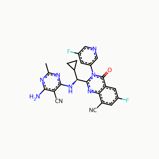 Cc1nc(N)c(C#N)c(N[C@H](c2nc3c(C#N)cc(F)cc3c(=O)n2-c2cncc(F)c2)C2CC2)n1